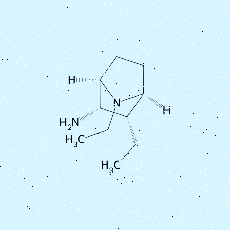 CC[C@@H]1[C@H](N)[C@H]2CC[C@@H]1N2CC